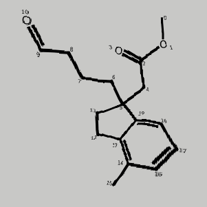 COC(=O)CC1(CCCC=O)CCc2c(C)cccc21